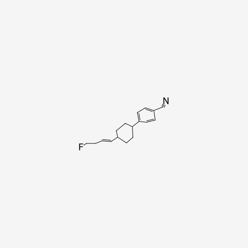 N#Cc1ccc(C2CCC(C=CCCF)CC2)cc1